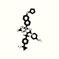 NC1CCN(C(=O)[C@@H](N(OC(=O)C(F)(F)F)S(=O)(=O)c2ccc3cc(OC4CCCC4)ccc3c2)C(F)(F)c2ccc(C3(C(F)(F)F)CC3)cc2)CC1